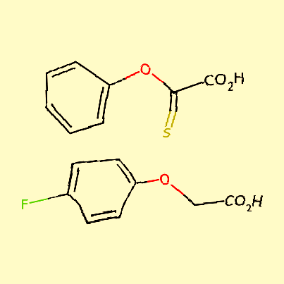 O=C(O)C(=S)Oc1ccccc1.O=C(O)COc1ccc(F)cc1